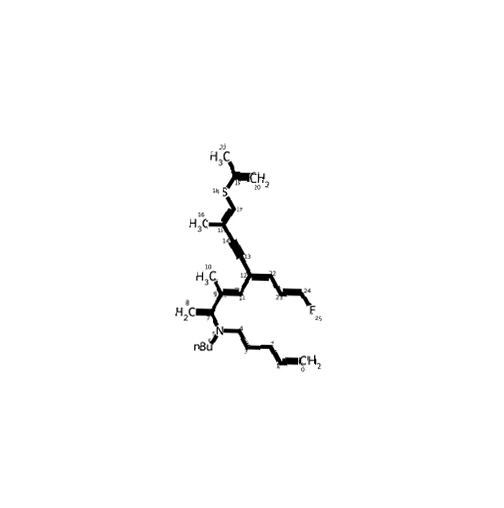 C=CCCCN(CCCC)C(=C)/C(C)=C/C(C#C/C(C)=C/SC(=C)C)=C\C=C\F